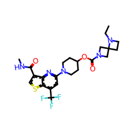 CCN1CCC12CN(C(=O)OC1CCN(c3cc(C(F)(F)F)c4scc(C(=O)NC)c4n3)CC1)C2